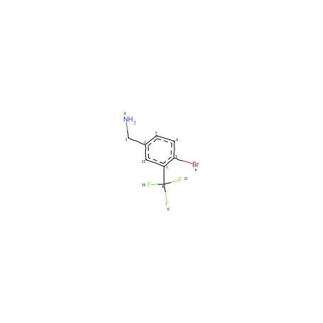 N[CH]c1ccc(Br)c(C(F)(F)F)c1